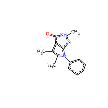 Cc1nc2c(c(C)c(C)n2-c2ccccc2)c(=O)[nH]1